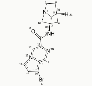 O=C(N[C@@H]1C[C@H]2CCN(C2)C1)c1cn2ccc(Br)c2cn1